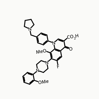 COc1ccccc1N1CCN(c2c(F)cc3c(=O)c(C(=O)O)cn(-c4ccc(CN5CCCC5)cc4)c3c2OC)CC1